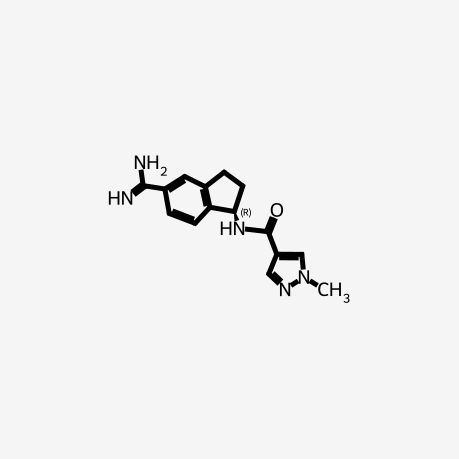 Cn1cc(C(=O)N[C@@H]2CCc3cc(C(=N)N)ccc32)cn1